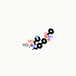 C[C@H](Cc1ccc(-c2ccc(S(=O)(=O)NC(=O)c3ccccc3)cc2)cc1)N(C[C@H](O)c1cccnc1)C(=O)O